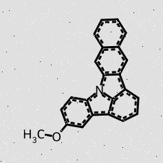 COc1ccc2c(c1)c1cccc3c4cc5ccccc5cc4n2c13